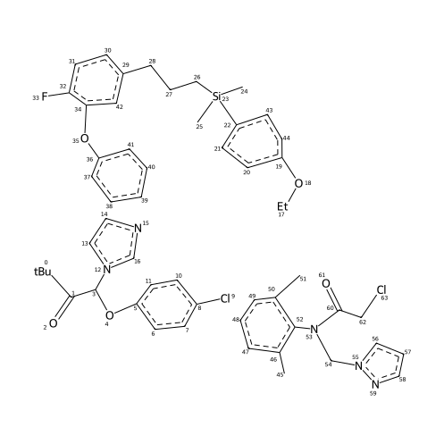 CC(C)(C)C(=O)C(Oc1ccc(Cl)cc1)n1ccnc1.CCOc1ccc([Si](C)(C)CCCc2ccc(F)c(Oc3ccccc3)c2)cc1.Cc1cccc(C)c1N(Cn1cccn1)C(=O)CCl